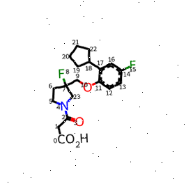 O=C(O)CC(=O)N1CCC(F)(COc2ccc(F)cc2C2CCCC2)C1